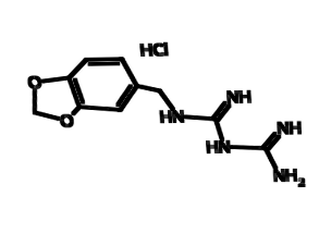 Cl.N=C(N)NC(=N)NCc1ccc2c(c1)OCO2